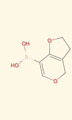 OB(O)C1=COCC2=C1OCC2